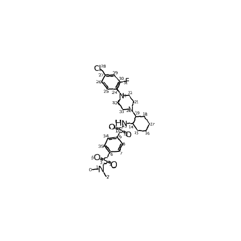 CN(C)S(=O)(=O)c1ccc(S(=O)(=O)NC2CCCCC2N2CCN(c3ccc(Cl)cc3F)CC2)cc1